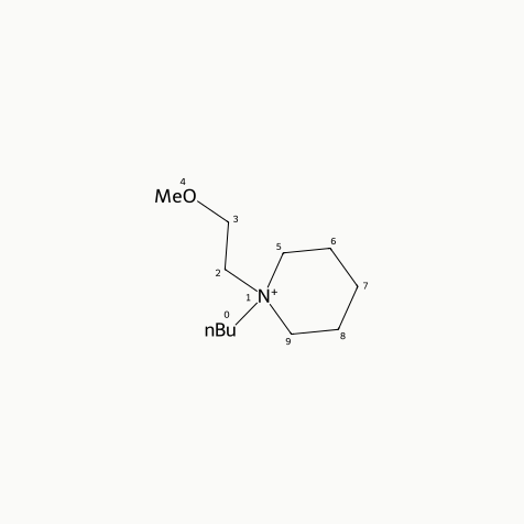 CCCC[N+]1(CCOC)CCCCC1